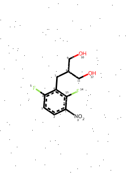 O=[N+]([O-])c1ccc(F)c(CC(CO)CO)c1F